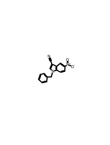 N#Cc1cn(Cc2ccccc2)c2ccc([N+](=O)[O-])cc12